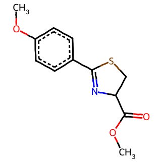 COC(=O)C1CSC(c2ccc(OC)cc2)=N1